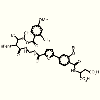 CCCCCC(C(=O)NCNC(=O)c1ccc(-c2ccc(C(=O)NC(CC(=O)O)C(=O)O)c(OCC)c2)o1)C(CC)N(C=O)OC(=O)c1ccc(OC)cc1C